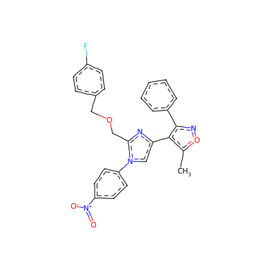 Cc1onc(-c2ccccc2)c1-c1cn(-c2ccc([N+](=O)[O-])cc2)c(COCc2ccc(F)cc2)n1